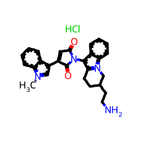 Cl.Cn1cc(C2=CC(=O)N(c3c4n(c5ccccc35)CC(CCN)CC4)C2=O)c2ccccc21